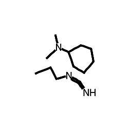 CCCN=C=N.CN(C)C1CCCCC1